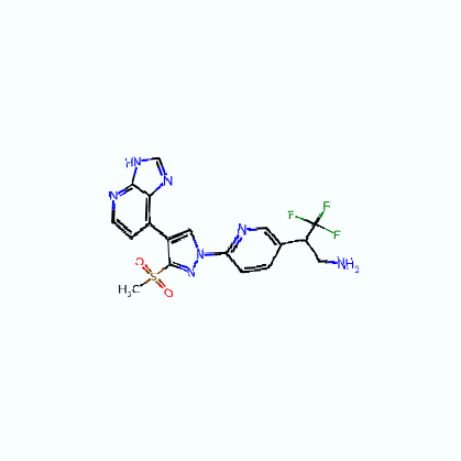 CS(=O)(=O)c1nn(-c2ccc(C(CN)C(F)(F)F)cn2)cc1-c1ccnc2[nH]cnc12